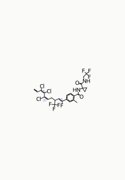 C=C/C(Cl)=C(Cl)\C(Cl)=C/CC(/C=C(\F)c1ccc(C(=O)NC2(C(=O)NCC(F)(F)F)CC2)c(C)c1)C(F)(F)F